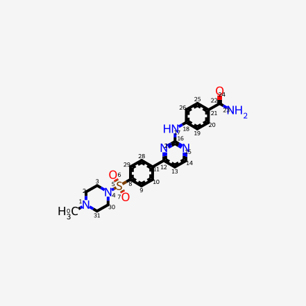 CN1CCN(S(=O)(=O)c2ccc(-c3ccnc(Nc4ccc(C(N)=O)cc4)n3)cc2)CC1